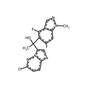 Cn1ncc2c(F)c(C(C)(O)c3cnc4ccc(Cl)nn34)c(F)cc21